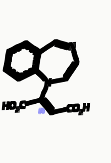 O=C(O)/C=C(/C(=O)O)N1C=CN=Cc2ccccc21